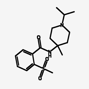 CC(C)N1CCC(C)(NC(=O)c2ccccc2S(C)(=O)=O)CC1